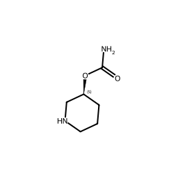 NC(=O)O[C@H]1CCCNC1